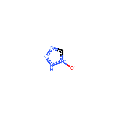 [O-][n+]1cnn[nH]1